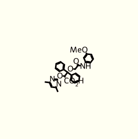 COc1cccc(NC(=O)COC(c2ccccc2)(c2ccccc2)C(Oc2nc(C)cc(C)n2)C(=O)O)c1